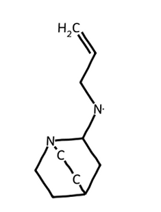 C=CC[N]C1CC2CCN1CC2